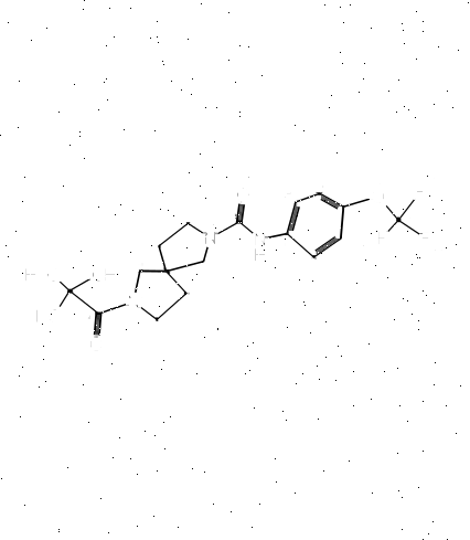 CC(C)(C)C(=O)N1CCC2(CCN(C(=O)Nc3ccc(OC(F)(F)F)cc3)C2)C1